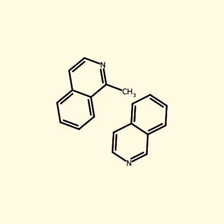 Cc1nccc2ccccc12.c1ccc2cnccc2c1